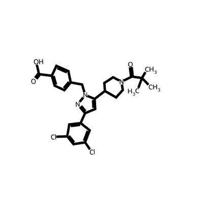 CC(C)(C)C(=O)N1CCC(c2cc(-c3cc(Cl)cc(Cl)c3)nn2Cc2ccc(C(=O)O)cc2)CC1